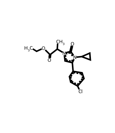 CCOC(=O)C(C)n1cc(-c2ccc(Cl)cc2)n(C2CC2)c1=O